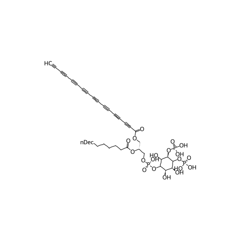 C#CC#CC#CC#CC#CC#CC#CC#CC(=O)OC[C@H](COP(=O)(O)OC1C(O)[C@@H](OP(=O)(O)O)C(OP(=O)(O)O)[C@@H](O)[C@H]1O)OC(=O)CCCCCCCCCCCCCCC